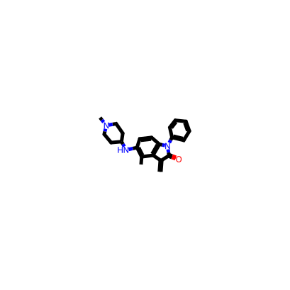 C=C1C(=O)N(c2ccccc2)c2ccc(NC3CCN(C)CC3)c(C)c21